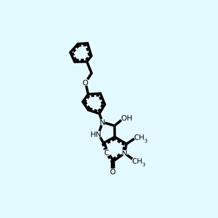 Cc1c2c(cc(=O)n1C)NN(c1ccc(OCc3ccccc3)cc1)C2O